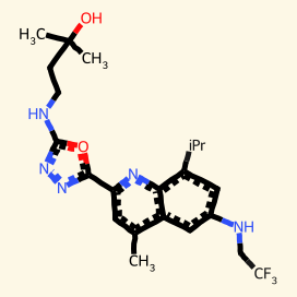 Cc1cc(-c2nnc(NCCC(C)(C)O)o2)nc2c(C(C)C)cc(NCC(F)(F)F)cc12